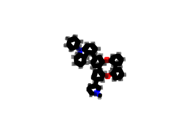 CN1CCC=C(c2ccc3c(c2)Oc2ccccc2-c2ccccc2Oc2cc(-c4cccc5c4c4ccccc4n5-c4ccccc4)ccc2-3)C1